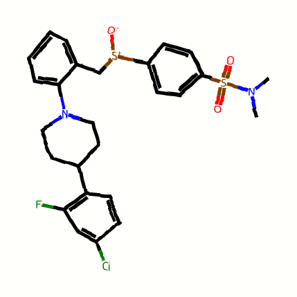 CN(C)S(=O)(=O)c1ccc([S+]([O-])Cc2ccccc2N2CCC(c3ccc(Cl)cc3F)CC2)cc1